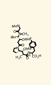 CC[C@H](C)[C@@H](C(CC(=O)N1CCC[C@H]1[C@H](OC)[C@@H](C)C(=O)N[C@@H](Cc1ccc(F)cc1)C(=O)O)OC)N(C)C(=O)CNC